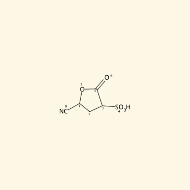 N#CC1CC(S(=O)(=O)O)C(=O)O1